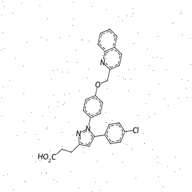 O=C(O)CCc1cc(-c2ccc(Cl)cc2)n(-c2ccc(OCc3ccc4ccccc4n3)cc2)n1